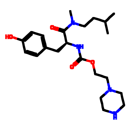 CC(C)CCN(C)C(=O)[C@H](Cc1ccc(O)cc1)NC(=O)OCCN1CCNCC1